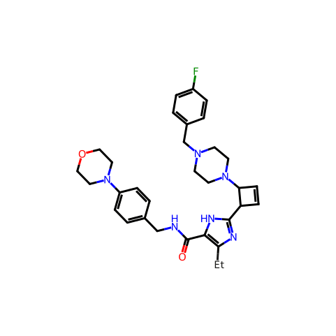 CCc1nc(C2C=CC2N2CCN(Cc3ccc(F)cc3)CC2)[nH]c1C(=O)NCc1ccc(N2CCOCC2)cc1